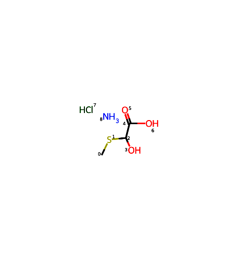 CSC(O)C(=O)O.Cl.N